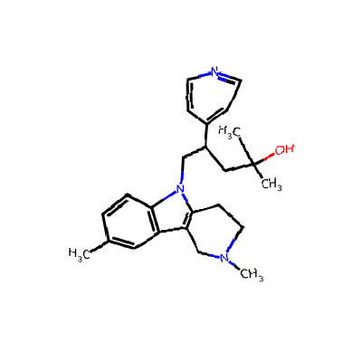 Cc1ccc2c(c1)c1c(n2CC(CC(C)(C)O)c2ccncc2)CCN(C)C1